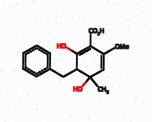 COC1=CC(C)(O)C(Cc2ccccc2)C(O)=C1C(=O)O